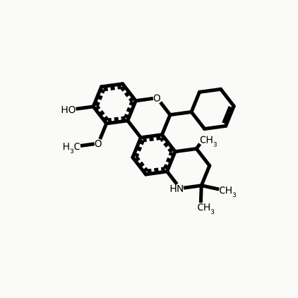 COc1c(O)ccc2c1-c1ccc3c(c1C(C1CC=CCC1)O2)C(C)CC(C)(C)N3